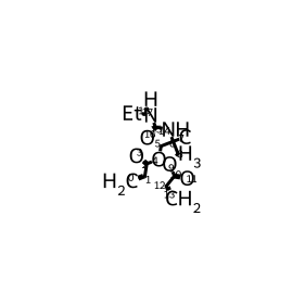 C=CC(=O)OCC(C)(COC(=O)C=C)NC(=O)NCC